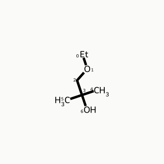 [CH2]COCC(C)(C)O